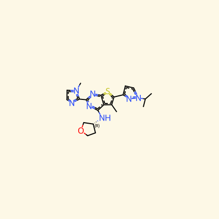 Cc1c(-c2ccn(C(C)C)n2)sc2nc(-c3nccn3C)nc(N[C@@H]3CCOC3)c12